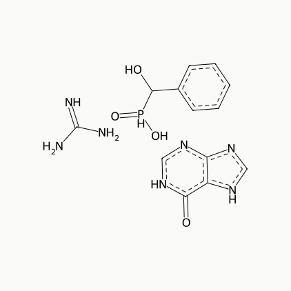 N=C(N)N.O=[PH](O)C(O)c1ccccc1.O=c1[nH]cnc2nc[nH]c12